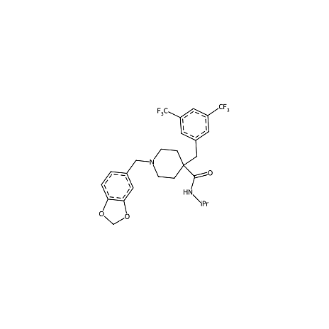 CC(C)NC(=O)C1(Cc2cc(C(F)(F)F)cc(C(F)(F)F)c2)CCN(Cc2ccc3c(c2)OCO3)CC1